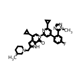 C[C@H]1CCCN(Cc2cc3c(C4CC4)cn(-c4cc(-c5ccc(F)cc5-c5ncnn5C)cc(C5CC5)n4)c(=O)c3[nH]2)C1